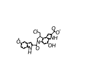 COC(=O)c1cc2c3c(cc(O)c2[nH]1)N(C(=O)c1cc2cc(OC)ccc2[nH]1)CC3CCl